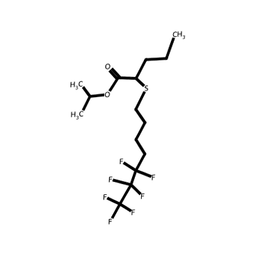 CCCC(SCCCCC(F)(F)C(F)(F)C(F)(F)F)C(=O)OC(C)C